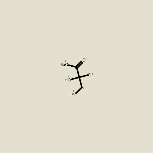 CC(C)COC(=O)C(O)(Cl)CC(C)C